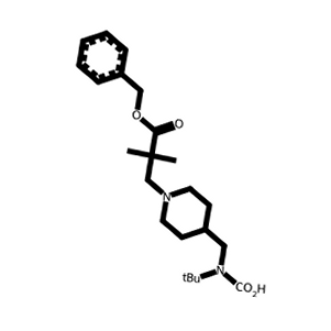 CC(C)(CN1CCC(CN(C(=O)O)C(C)(C)C)CC1)C(=O)OCc1ccccc1